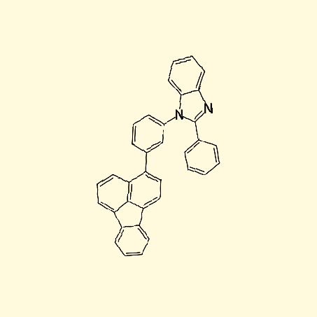 c1ccc(-c2nc3ccccc3n2-c2cccc(-c3ccc4c5c(cccc35)-c3ccccc3-4)c2)cc1